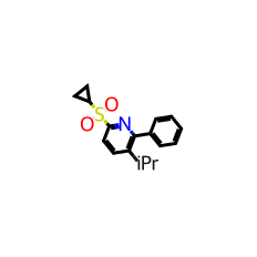 CC(C)c1ccc(S(=O)(=O)C2CC2)nc1-c1ccccc1